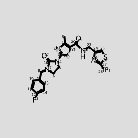 Cc1nc(N2CCN(Cc3ccc(F)cc3)C2=O)sc1C(=O)NCc1csc(C(C)C)n1